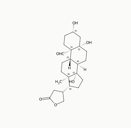 C[C@]12CC[C@H]3[C@@H](CC[C@]4(O)C[C@@H](O)CC[C@]34C=O)[C@@]1(O)CC[C@@H]2C1COC(=O)C1